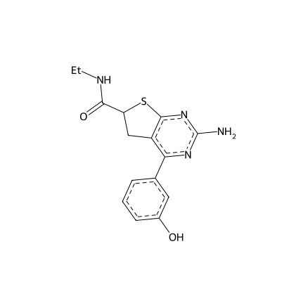 CCNC(=O)C1Cc2c(nc(N)nc2-c2cccc(O)c2)S1